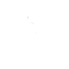 O=C(OCc1ccccc1)c1c(Cl)ccc(N(CCC(F)S(=O)(=O)CCCF)[SH](=O)=O)c1F